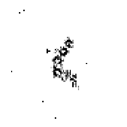 CCNC(=O)Nc1nccc(CN2CCN(c3ccc(-n4cccn4)nc3C)CC2)c1F